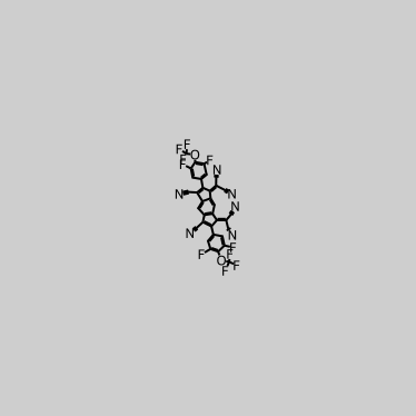 N#CC(C#N)=C1C(c2cc(F)c(OC(F)(F)F)c(F)c2)=C(C#N)c2cc3c(cc21)C(=C(C#N)C#N)C(c1cc(F)c(OC(F)(F)F)c(F)c1)=C3C#N